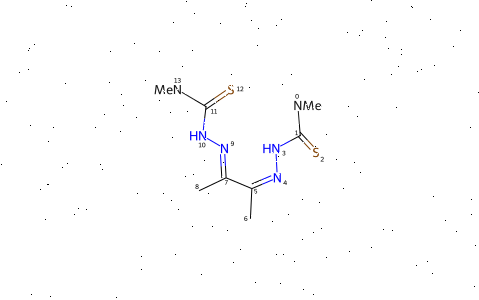 CNC(=S)NN=C(C)C(C)=NNC(=S)NC